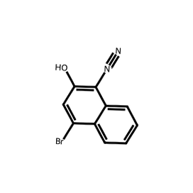 N#[N+]c1c(O)cc(Br)c2ccccc12